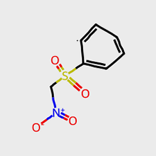 O=[N+]([O-])CS(=O)(=O)c1[c]cccc1